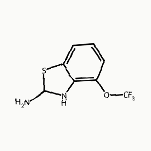 NC1Nc2c(OC(F)(F)F)cccc2S1